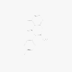 CNC(=O)N(C(=O)c1c(F)cccc1F)c1ccc(Cl)cc1